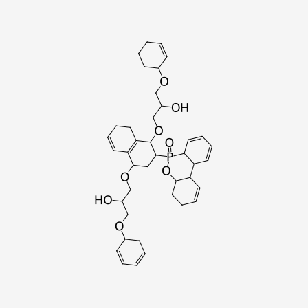 O=P1(C2CC(OCC(O)COC3C=CC=CC3)C3=C(CCC=C3)C2OCC(O)COC2C=CCCC2)OC2CCC=CC2C2C=CC=CC21